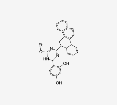 CCOC1=NC(C2Cc3c(ccc4ccccc34)C3C=CC=CC23)=NC(c2ccc(O)cc2O)N1